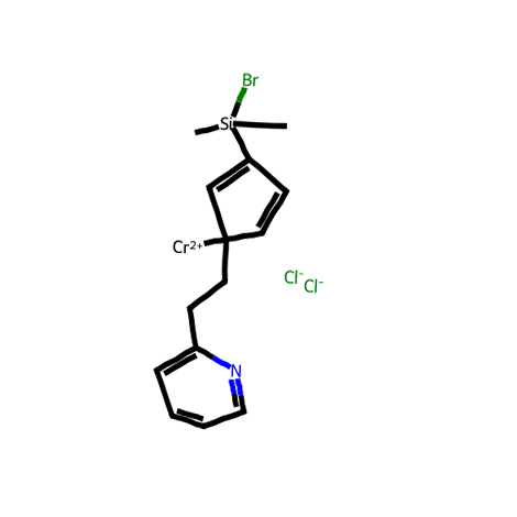 C[Si](C)(Br)C1=C[C]([Cr+2])(CCc2ccccn2)C=C1.[Cl-].[Cl-]